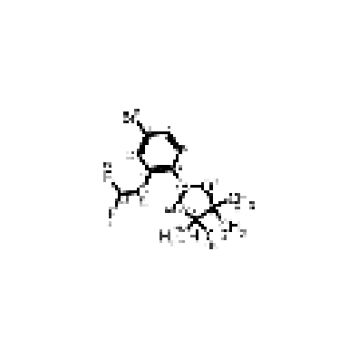 CC1(C)OB(c2ccc(Br)cc2OC(F)F)OC1(C)C